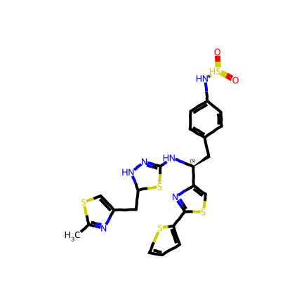 Cc1nc(CC2NN=C(N[C@@H](Cc3ccc(N[SH](=O)=O)cc3)c3csc(-c4cccs4)n3)S2)cs1